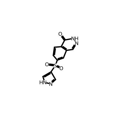 O=c1[nH]ncc2cc(S(=O)(=O)c3cn[nH]c3)ccc12